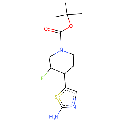 CC(C)(C)OC(=O)N1CCC(c2cnc(N)s2)C(F)C1